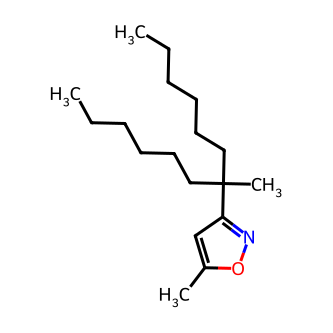 CCCCCCC(C)(CCCCCC)c1cc(C)on1